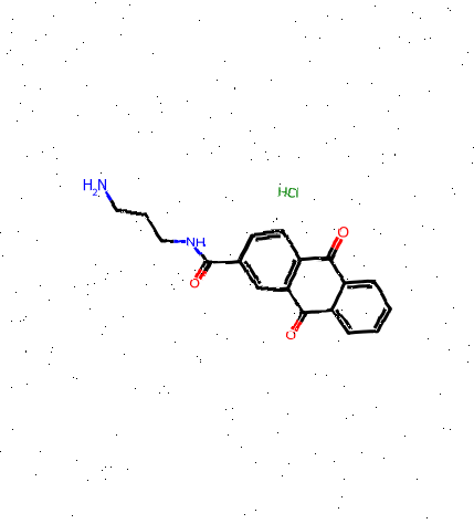 Cl.NCCCNC(=O)c1ccc2c(c1)C(=O)c1ccccc1C2=O